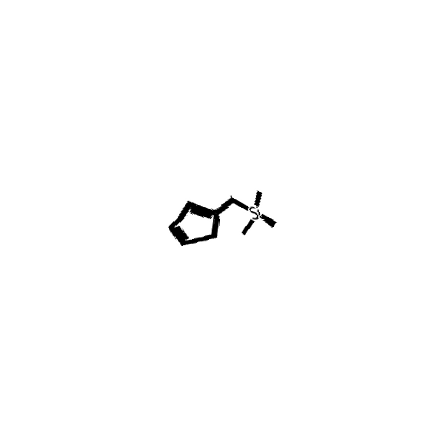 C[Si](C)(C)[CH]C1=CC=CC1